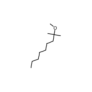 CCCCCCCC(C)(C)OC